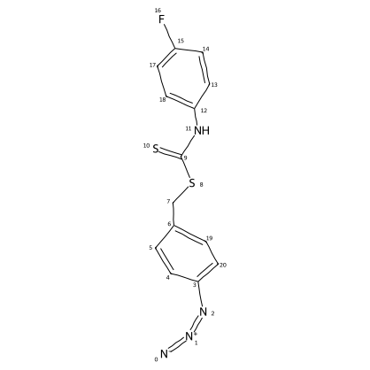 [N-]=[N+]=Nc1ccc(CSC(=S)Nc2ccc(F)cc2)cc1